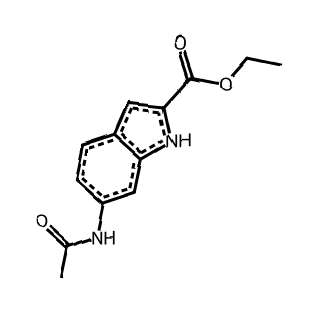 CCOC(=O)c1cc2ccc(NC(C)=O)cc2[nH]1